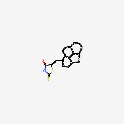 O=C1NC(=S)SC1=Cc1ccc2ccc3cccc4ccc1c2c34